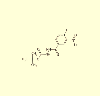 CC(C)(C)OC(=O)NNC(=S)c1ccc(F)c([N+](=O)[O-])c1